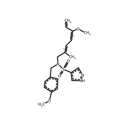 C=C/C(=C\C=C(/C)CN(Cc1ccc(OC)cc1)S(=O)(=O)c1cn[nH]c1)OC